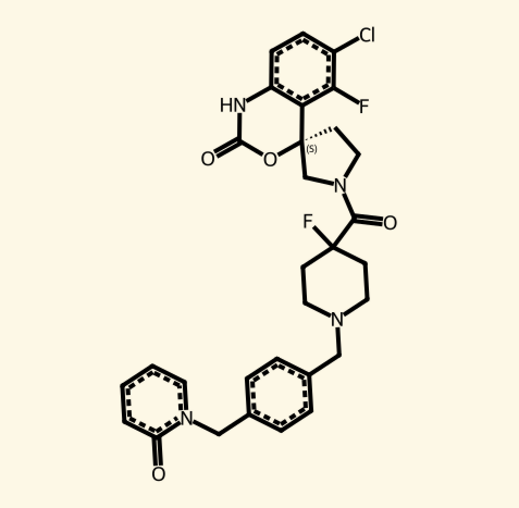 O=C1Nc2ccc(Cl)c(F)c2[C@]2(CCN(C(=O)C3(F)CCN(Cc4ccc(Cn5ccccc5=O)cc4)CC3)C2)O1